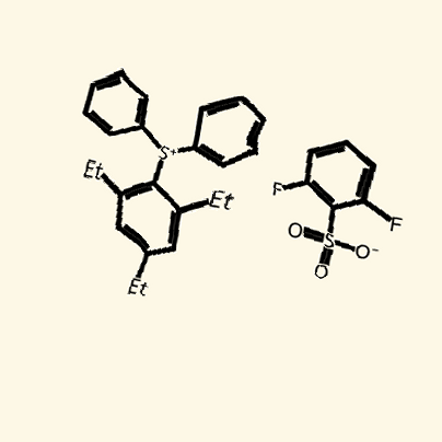 CCc1cc(CC)c([S+](c2ccccc2)c2ccccc2)c(CC)c1.O=S(=O)([O-])c1c(F)cccc1F